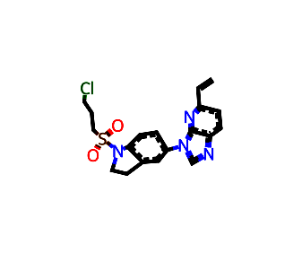 C=Cc1ccc2ncn(-c3ccc4c(c3)CCN4S(=O)(=O)CCCCl)c2n1